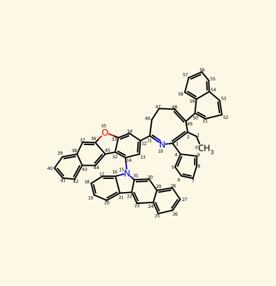 CCC1=C(c2ccccc2)/N=C(/c2cc(-n3c4ccccc4c4cc5ccccc5cc43)c3c(c2)oc2cc4ccccc4cc23)CC/C=C\1c1cccc2ccccc12